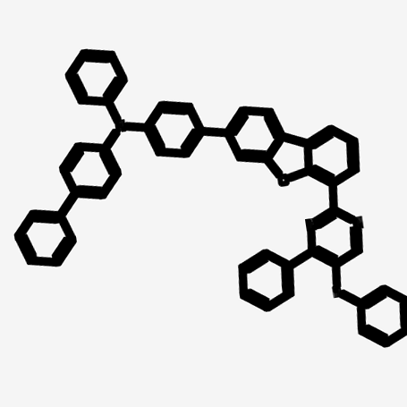 c1ccc(Sc2cnc(-c3cccc4c3oc3cc(-c5ccc(N(c6ccccc6)c6ccc(-c7ccccc7)cc6)cc5)ccc34)nc2-c2ccccc2)cc1